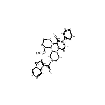 CCOC(=O)C1CCCN(c2c(N3CCN(C(=O)C4=CNC5C=CC=CC45)CC3)cnn(-c3ccccc3)c2=O)C1